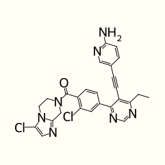 CCc1ncnc(-c2ccc(C(=O)N3CCn4c(Cl)cnc4C3)c(Cl)c2)c1C#Cc1ccc(N)nc1